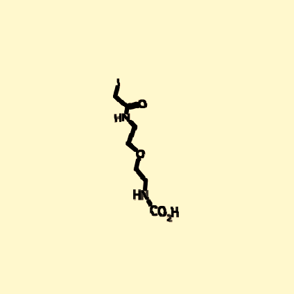 O=C(O)NCCOCCNC(=O)CI